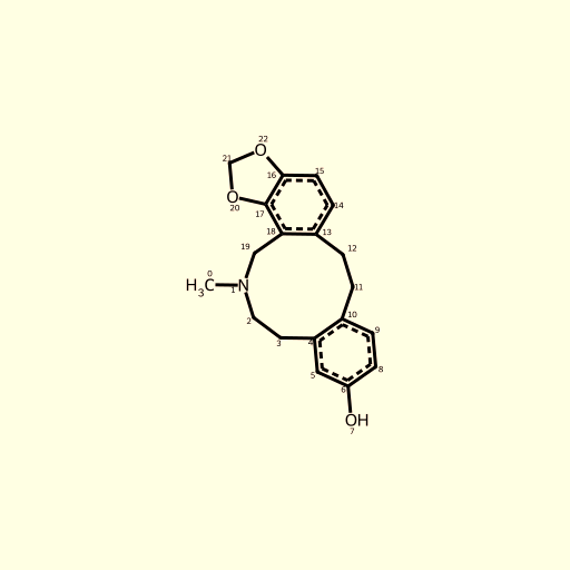 CN1CCc2cc(O)ccc2CCc2ccc3c(c2C1)OCO3